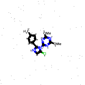 COc1nc(OC)nc(-n2c(Cl)cnc2-c2ccc(C)cc2)n1